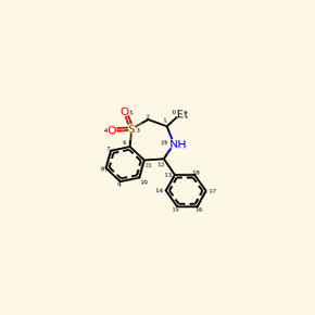 CCC1CS(=O)(=O)c2c[c]ccc2C(c2ccccc2)N1